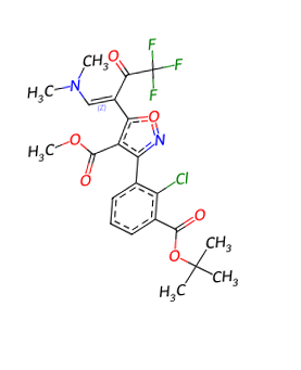 COC(=O)c1c(-c2cccc(C(=O)OC(C)(C)C)c2Cl)noc1/C(=C/N(C)C)C(=O)C(F)(F)F